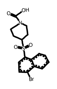 O=C(O)N1CCC(S(=O)(=O)c2ccc(Br)c3ccccc23)CC1